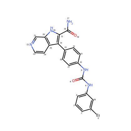 CCc1cccc(NC(=O)Nc2ccc(-c3c(C(N)=O)[nH]c4cnccc34)cc2)c1